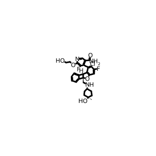 C[C@]1(O)CC[C@H](NC[C@]23Oc4cc(F)c(Cl)c(-c5c(C(N)=O)cnc(OCCO)c5F)c4[C@@H]2c2ccccc23)CC1